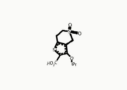 CC(C)Oc1c(C(=O)O)sc2c1CS(=O)(=O)CC2